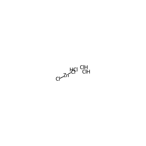 Cl.Cl.Cl.[Cl][Zn][Cl]